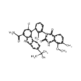 COc1c(C)ccc2c(=O)n(-c3cccc(-c4c(Cl)cc(C(N)=O)c5[nH]c6cc(C(C)(C)O)ccc6c45)c3C)c(=O)[nH]c12